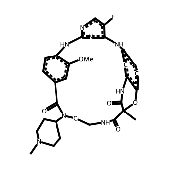 COc1cc2ccc1Nc1ncc(F)c(n1)Nc1ccc3c(c1)NC(=O)C(C)(O3)C(=O)NCCN(C1CCN(C)CC1)C2=O